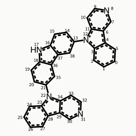 c1ccc2c(c1)c1cnccc1n2-c1ccc2[nH]c3ccc(-n4c5ccccc5c5cnccc54)cc3c2c1